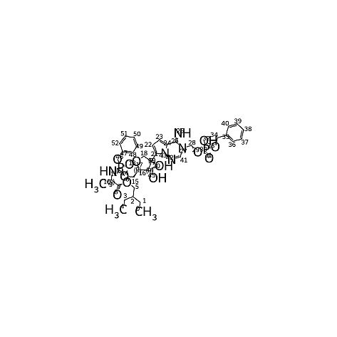 CCC(CC)COC(=O)[C@H](C)N[P@](=O)(OC[C@H]1OC[C@](O)(c2ccc3c(=N)n(COP(=O)(O)OCc4ccccc4)cnn23)[C@@H]1O)Oc1ccccc1